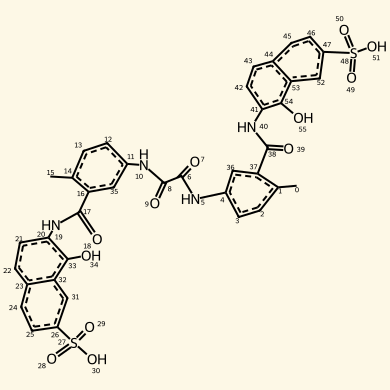 Cc1ccc(NC(=O)C(=O)Nc2ccc(C)c(C(=O)Nc3ccc4ccc(S(=O)(=O)O)cc4c3O)c2)cc1C(=O)Nc1ccc2ccc(S(=O)(=O)O)cc2c1O